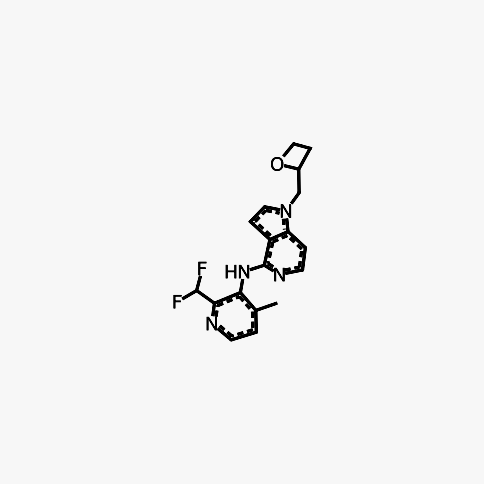 Cc1ccnc(C(F)F)c1Nc1nccc2c1ccn2CC1CCO1